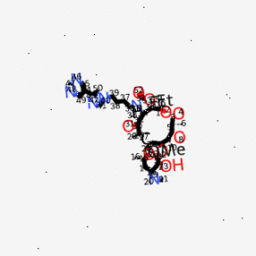 CC[C@H]1OC(=O)[C@H](C)C(=O)[C@H](C)[C@@H](OC2O[C@H](C)C[C@H](N(C)C)[C@H]2O)[C@@](C)(OC)C[C@@H](C)C(=O)[C@H](C)[C@H]2N(CCCCn3cnc(-c4cncnc4)c3)C(=O)O[C@]12CC